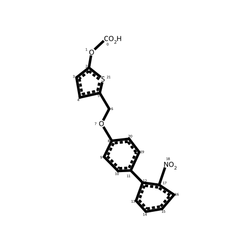 O=C(O)Oc1ccc(COc2ccc(-c3ccccc3[N+](=O)[O-])cc2)s1